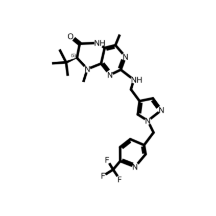 Cc1nc(NCc2cnn(Cc3ccc(C(F)(F)F)nc3)c2)nc2c1NC(=O)[C@H](C(C)(C)C)N2C